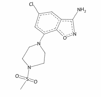 CS(=O)(=O)N1CCN(c2cc(Cl)cc3c(N)noc23)CC1